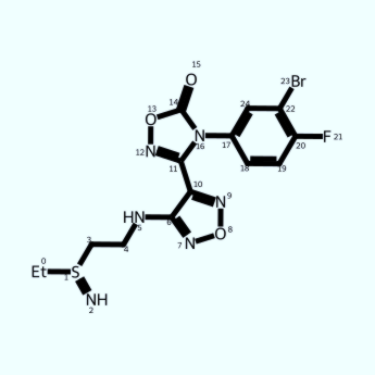 CCS(=N)CCNc1nonc1-c1noc(=O)n1-c1ccc(F)c(Br)c1